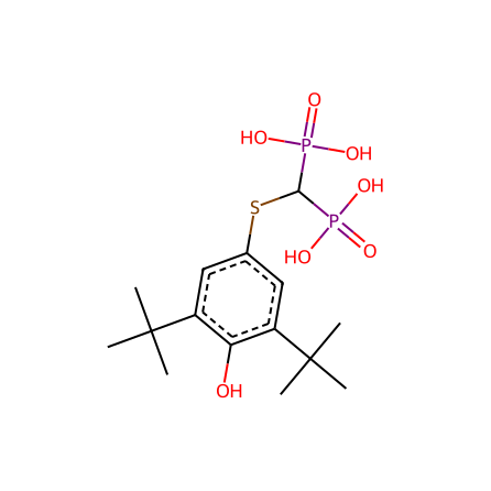 CC(C)(C)c1cc(SC(P(=O)(O)O)P(=O)(O)O)cc(C(C)(C)C)c1O